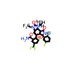 [2H]C([2H])([2H])n1c(=O)n(CC(F)(F)F)c2cc(-c3c(F)cc(C(F)F)cc3C(N)=O)c3c(c21)C(=O)NC3(O)c1cc(F)ccc1Cl